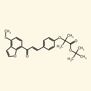 CSc1ccc(C(=O)C=Cc2ccc(OC(C)(C)C(=O)OC(C)(C)C)cc2)c2occc12